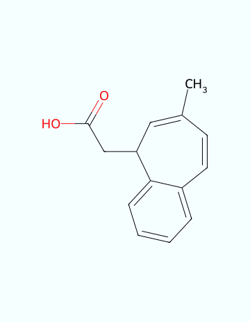 CC1=CC(CC(=O)O)c2ccccc2C=C1